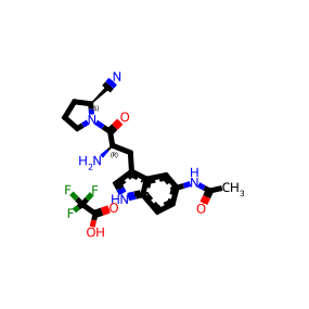 CC(=O)Nc1ccc2[nH]cc(C[C@@H](N)C(=O)N3CCC[C@H]3C#N)c2c1.O=C(O)C(F)(F)F